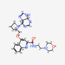 O=C(NCCN1CCOCC1)c1cc(OC[C@H]2CCCN2c2ncnc3[nH]cnc23)c2ccccc2n1